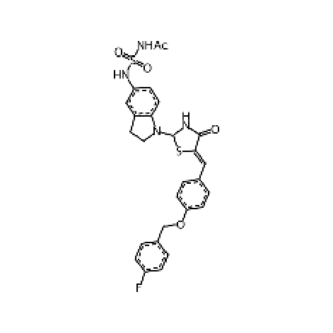 CC(=O)NS(=O)(=O)Nc1ccc2c(c1)CCN2C1NC(=O)C(=Cc2ccc(OCc3ccc(F)cc3)cc2)S1